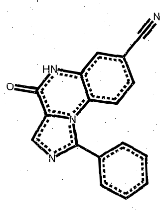 N#Cc1ccc2c(c1)[nH]c(=O)c1cnc(-c3ccccc3)n12